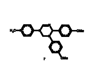 COc1ccc(C2N=CN(c3cc[n+](C)cc3)CN2c2ccc(OC)cc2)cc1.[I-]